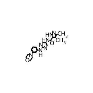 Cc1n[nH]c(C(=O)Nc2cnc(Nc3cccc(N4CCOCC4)c3)nc2)c1C